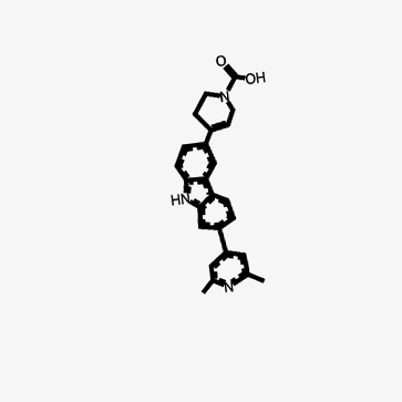 Cc1cc(-c2ccc3c(c2)[nH]c2ccc(C4=CCN(C(=O)O)CC4)cc23)cc(C)n1